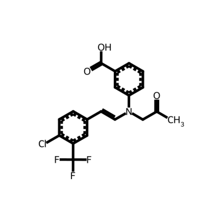 CC(=O)CN(C=Cc1ccc(Cl)c(C(F)(F)F)c1)c1cccc(C(=O)O)c1